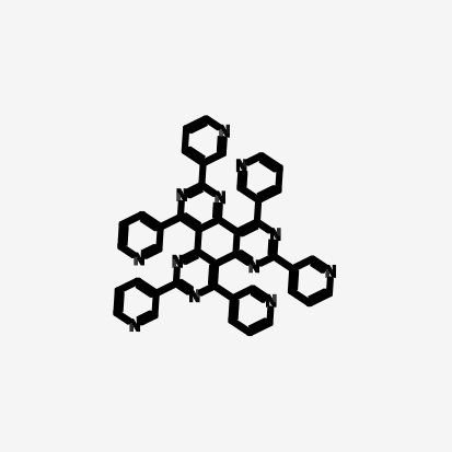 c1cncc(-c2nc(-c3cccnc3)c3c(n2)c2c(-c4cccnc4)nc(-c4cccnc4)nc2c2c(-c4cccnc4)nc(-c4cccnc4)nc32)c1